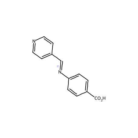 O=C(O)c1ccc(/N=C/c2ccncc2)cc1